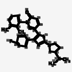 Cc1cccc(-n2nc(-c3sc(N4CCC(N(C)C)C4)nc3-c3ccc(F)cc3)ccc2=O)c1C